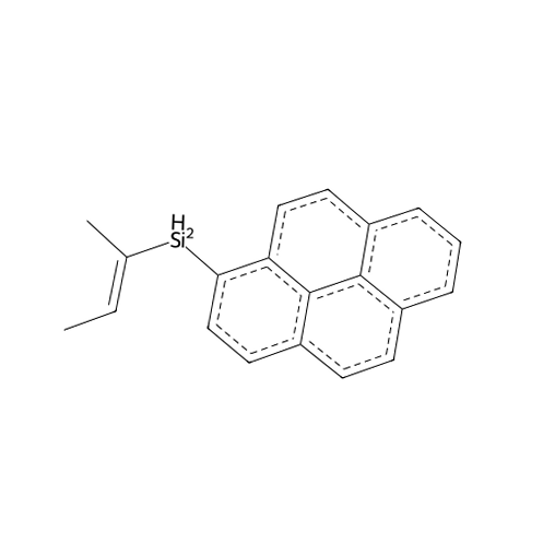 CC=C(C)[SiH2]c1ccc2ccc3cccc4ccc1c2c34